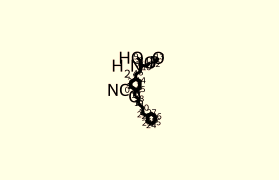 N#Cc1cc(CCC(N)(CO)COP=O)ccc1OCCCCc1ccccc1